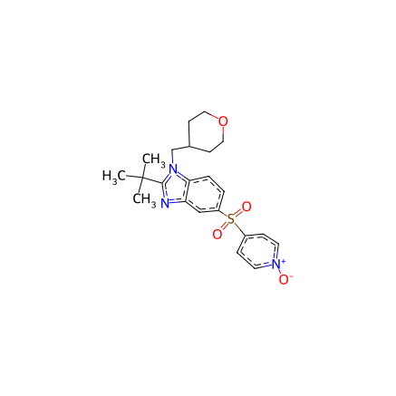 CC(C)(C)c1nc2cc(S(=O)(=O)c3cc[n+]([O-])cc3)ccc2n1CC1CCOCC1